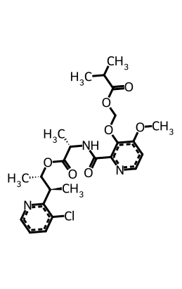 COc1ccnc(C(=O)N[C@@H](C)C(=O)O[C@@H](C)[C@@H](C)c2ncccc2Cl)c1OCOC(=O)C(C)C